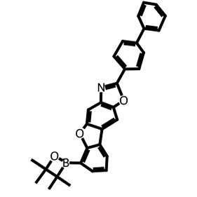 CC1(C)OB(c2cccc3c2oc2cc4nc(-c5ccc(-c6ccccc6)cc5)oc4cc23)C1(C)C